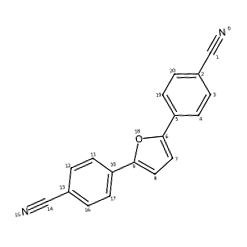 N#Cc1ccc(-c2ccc(-c3ccc(C#N)cc3)o2)cc1